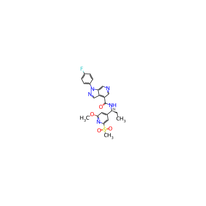 CC[C@H](NC(=O)c1cncc2c1cnn2-c1ccc(F)cc1)c1cc(OC)nc(S(C)(=O)=O)c1